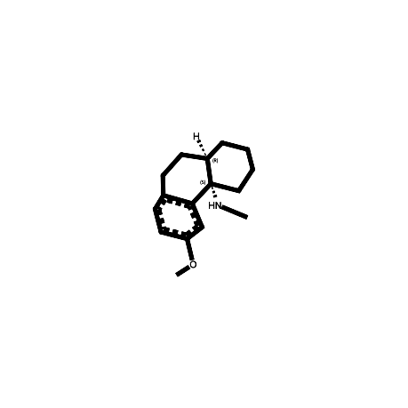 CN[C@@]12CCCC[C@@H]1CCc1ccc(OC)cc12